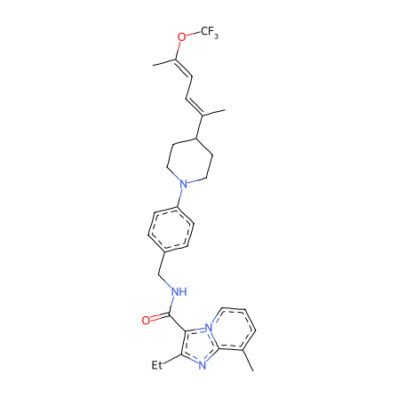 CCc1nc2c(C)cccn2c1C(=O)NCc1ccc(N2CCC(/C(C)=C/C=C(\C)OC(F)(F)F)CC2)cc1